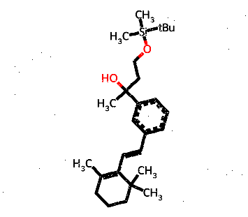 CC1=C(C=Cc2cccc(C(C)(O)CCO[Si](C)(C)C(C)(C)C)c2)C(C)(C)CCC1